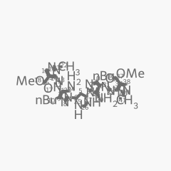 CCCCc1nn(C2CC(n3nc(CCCC)c(N=Nc4c(C(=O)OC)cnn4C)c3N)NCN2)c(N)c1N=Nc1c(C(=O)OC)cnn1C